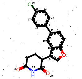 O=C1CCC(c2coc3ccc(-c4ccc(Cl)cc4)cc23)C(=O)N1